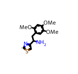 COc1cc(OC)c(OC)cc1CC(N)c1cs[c]n1